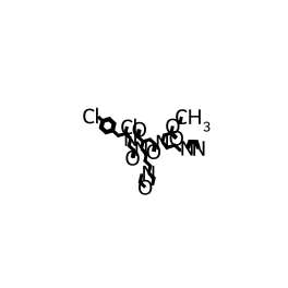 CCOC(=O)CN(CCCn1ccnc1)C(=O)CC1C(=O)N(C(Cl)Cc2ccc(Cl)cc2)CC(=O)N1CCCN1CCOCC1